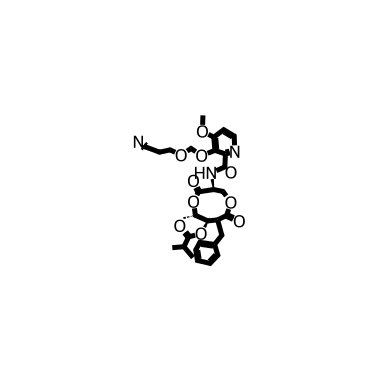 COc1ccnc(C(=O)N[C@H]2COC(=O)C(Cc3ccccc3)[C@@H](OC(=O)C(C)C)[C@H](C)OC2=O)c1OCOCCC#N